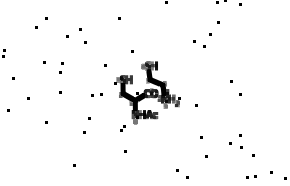 CC(=O)NC(CS)C(=O)O.NCCS